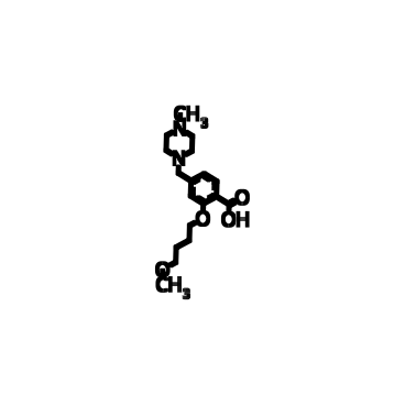 COCCCCOc1cc(CN2CCN(C)CC2)ccc1C(=O)O